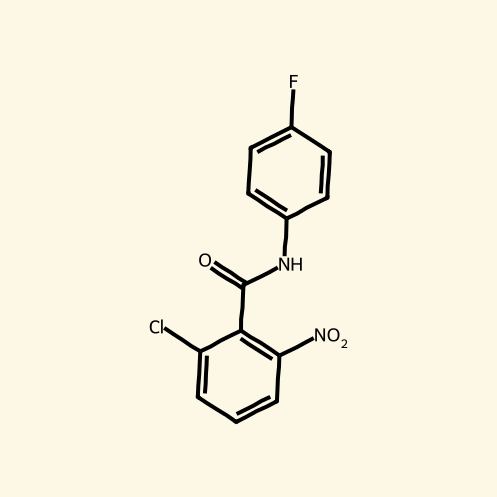 O=C(Nc1ccc(F)cc1)c1c(Cl)cccc1[N+](=O)[O-]